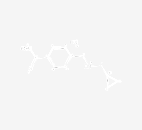 COC(=O)c1ccc(CNCC2CC2)cc1.Cl